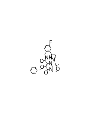 Cn1ccc(-c2cc(F)ccc2CNC(=O)c2nc3n(c(=O)c2OCc2ccccc2)CCOC3(C)C)n1